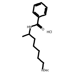 CCCCCCCCCCCCCCCC(C)NC(=O)c1ccccc1.Cl